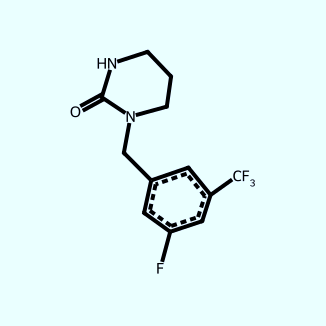 O=C1NCCCN1Cc1cc(F)cc(C(F)(F)F)c1